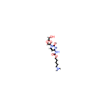 CN(C)CCCCCOC(=O)Nc1ccn(C2COC(CO)O2)c(=O)n1